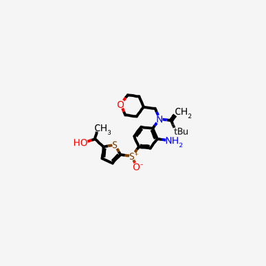 C=C(N(CC1CCOCC1)c1ccc([S+]([O-])c2ccc(C(C)O)s2)cc1N)C(C)(C)C